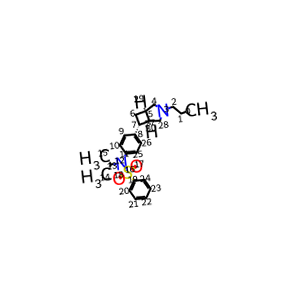 CCCN1C[C@@H]2C[C@@H](c3ccc(N(C(C)C)S(=O)(=O)c4ccccc4)cc3)[C@@H]2C1